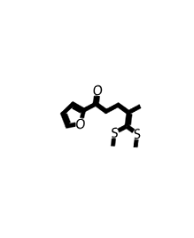 CSC(SC)=C(C)CCC(=O)c1ccco1